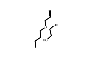 C=CCOCCCC.OCCO